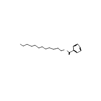 CCCCCCCCCCCCOC(=O)c1[c]cccc1